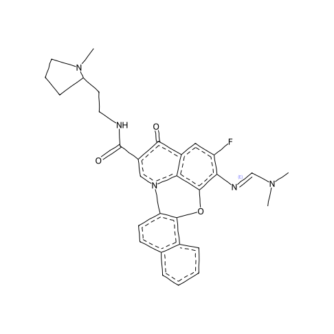 CN(C)/C=N/c1c(F)cc2c(=O)c(C(=O)NCCC3CCCN3C)cn3c2c1Oc1c-3ccc2ccccc12